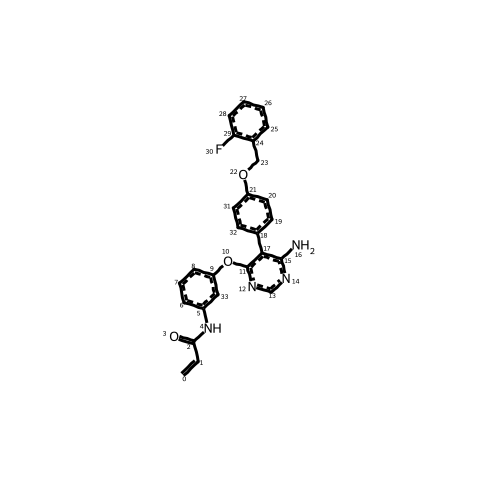 C=CC(=O)Nc1cccc(Oc2ncnc(N)c2-c2ccc(OCc3ccccc3F)cc2)c1